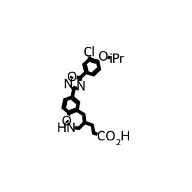 CC(C)Oc1ccc(-c2nc(-c3ccc4c(c3)CC(CCC(=O)O)CNO4)no2)cc1Cl